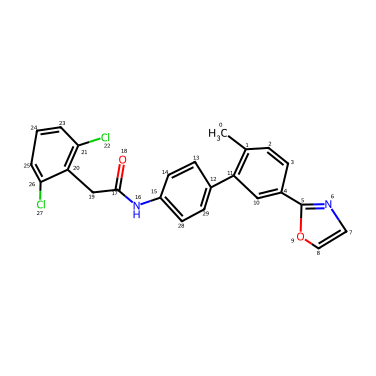 Cc1ccc(-c2ncco2)cc1-c1ccc(NC(=O)Cc2c(Cl)cccc2Cl)cc1